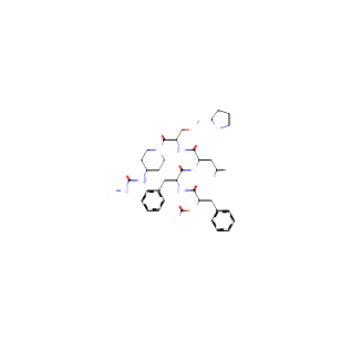 CNC(=O)NC1CCN(C(=O)C(COC[C@@H]2CCCN2)NC(=O)C(CC(C)C)NC(=O)C(Cc2ccccc2)NC(=O)C(Cc2ccccc2)OC(N)=O)CC1